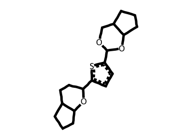 c1cc(C2OCC3CCCC3O2)sc1C1CCC2CCCC2O1